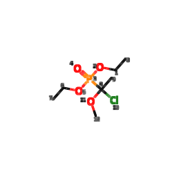 CCOP(=O)(OCC)C(C)(Cl)OC